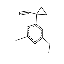 CCc1cc(C)cc(C2(C#N)CC2)c1